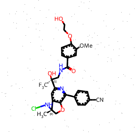 COc1cc(C(=O)NC[C@](O)(c2cc3c(c(-c4ccc(C#N)cc4)n2)OC[C@]3(C)NCl)C(F)(F)F)ccc1OCCO